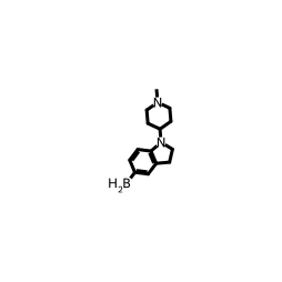 Bc1ccc2c(c1)CCN2C1CCN(C)CC1